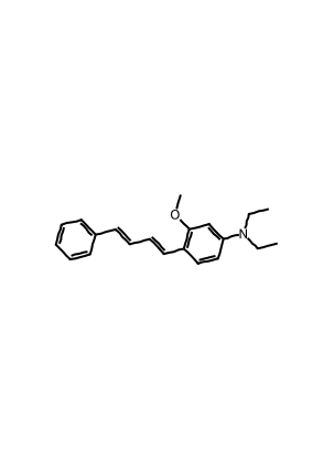 CCN(CC)c1ccc(/C=C/C=C/c2ccccc2)c(OC)c1